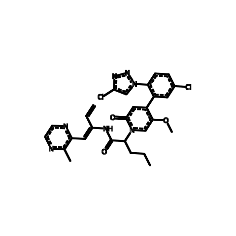 C=C/C(=C\c1nccnc1C)NC(=O)C(CCC)n1cc(OC)c(-c2cc(Cl)ccc2-n2cc(Cl)nn2)cc1=O